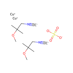 O=S(=O)([O-])[O-].[C-]#[N+]CC(C)(C)OC.[C-]#[N+]CC(C)(C)OC.[Cu+].[Cu+]